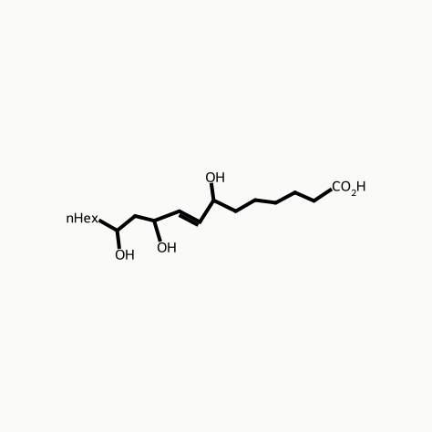 CCCCCCC(O)CC(O)/C=C/C(O)CCCCCC(=O)O